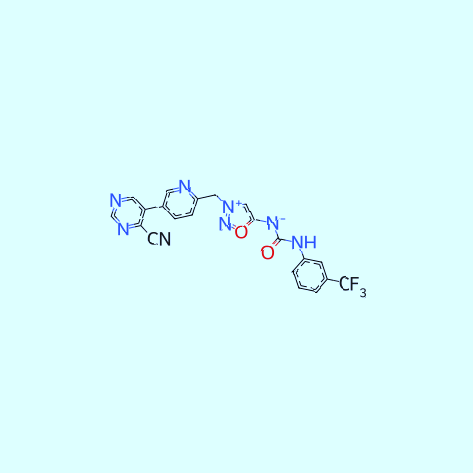 N#Cc1ncncc1-c1ccc(C[n+]2cc([N-]C(=O)Nc3cccc(C(F)(F)F)c3)on2)nc1